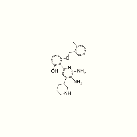 Cc1ccccc1COc1cccc(O)c1-c1cc(C2CCCNC2)c(N)c(N)n1